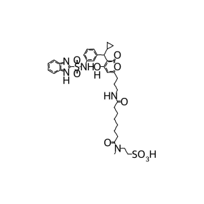 CN(CCS(=O)(=O)O)C(=O)CCCCCCC(=O)NCCCc1cc(O)c(C(c2cccc(NS(=O)(=O)c3nc4ccccc4[nH]3)c2)C2CC2)c(=O)o1